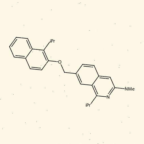 CNc1cc2ccc(COc3ccc4ccccc4c3C(C)C)cc2c(C(C)C)n1